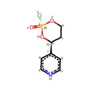 O=[P@@]1(Cl)OCC[C@@H](c2ccncc2)O1